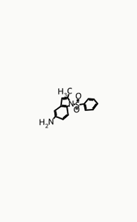 Cc1cc2cc(N)ccc2n1S(=O)(=O)c1ccccc1